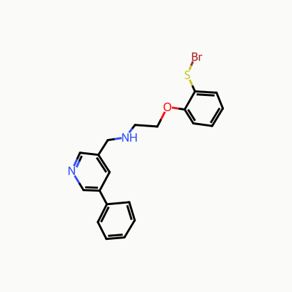 BrSc1ccccc1OCCNCc1cncc(-c2ccccc2)c1